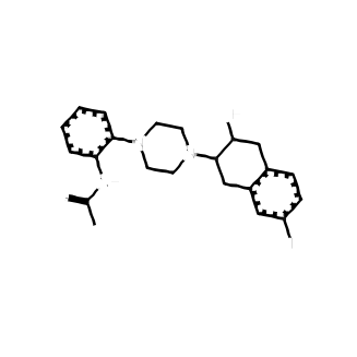 CC(=O)Nc1ccccc1N1CCN(C2Cc3cc(I)ccc3CC2O)CC1